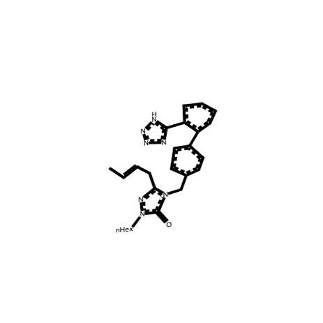 C/C=C/Cc1nn(CCCCCC)c(=O)n1Cc1ccc(-c2ccccc2-c2nnn[nH]2)cc1